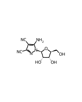 N#Cc1nn([C@H]2O[C@@H](CO)[C@H](O)[C@@H]2O)c(N)c1C#N